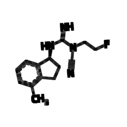 Cc1cccc2c1CC[C@@H]2NC(=N)N(C#N)CCF